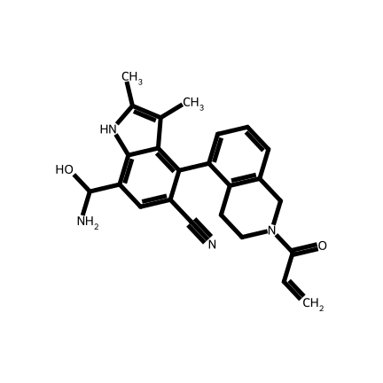 C=CC(=O)N1CCc2c(cccc2-c2c(C#N)cc(C(N)O)c3[nH]c(C)c(C)c23)C1